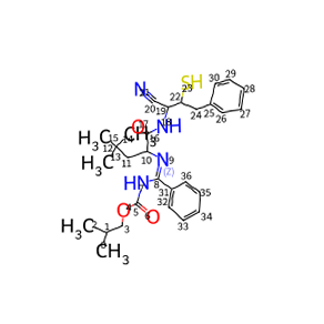 CC(C)COC(=O)N/C(=N\C(CC(C)(C)C)C(=O)NC(C#N)C(S)Cc1ccccc1)c1ccccc1